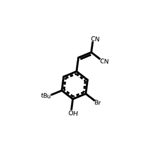 CC(C)(C)c1cc(C=C(C#N)C#N)cc(Br)c1O